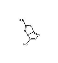 Nc1nn2c(O)cnc2o1